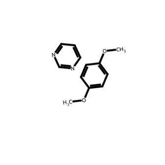 COc1ccc(OC)cc1.c1cncnc1